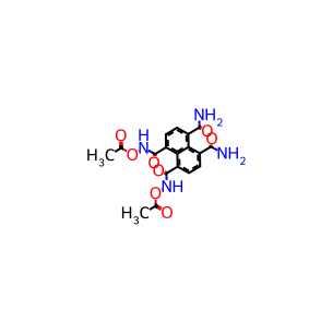 CC(=O)ONC(=O)c1ccc(C(N)=O)c2c(C(N)=O)ccc(C(=O)NOC(C)=O)c12